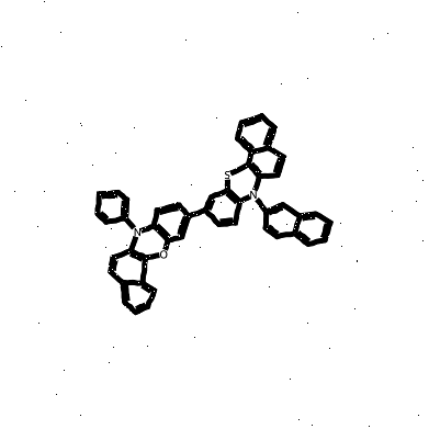 c1ccc(N2c3ccc(-c4ccc5c(c4)Sc4c(ccc6ccccc46)N5c4ccc5ccccc5c4)cc3Oc3c2ccc2ccccc32)cc1